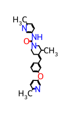 Cc1ccc(NC(=O)N2CCC(=Cc3cccc(Oc4ccc(C)nc4)c3)C(C)C2)cn1